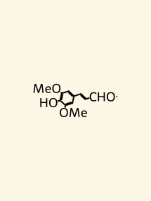 COc1cc(/C=C/[C]=O)cc(OC)c1O